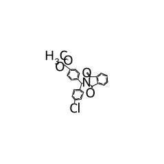 COC(=O)c1ccc(C(c2ccc(Cl)cc2)N2C(=O)c3ccccc3C2=O)cc1